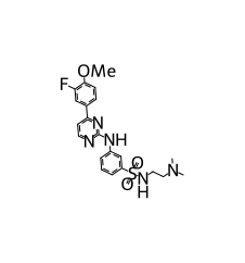 COc1ccc(-c2ccnc(Nc3cccc(S(=O)(=O)NCCN(C)C)c3)n2)cc1F